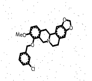 COc1ccc2c(c1OCc1cccc(Cl)c1)CN1CCc3cc4c(cc3C1C2)OCO4